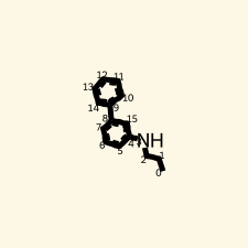 CCCNc1cccc(-c2ccccc2)c1